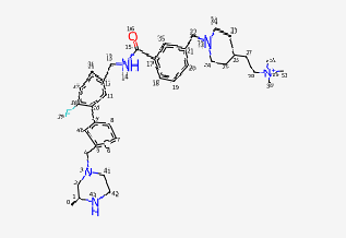 C[C@H]1CN(Cc2cccc(-c3cc(CNC(=O)c4cccc(CN5CCC(CC[N+](C)(C)C)CC5)c4)ccc3F)c2)CCN1